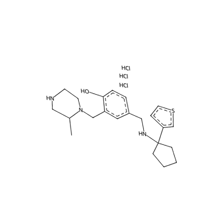 CC1CNCCN1Cc1cc(CNC2(c3ccsc3)CCCC2)ccc1O.Cl.Cl.Cl